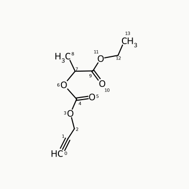 C#CCOC(=O)OC(C)C(=O)OCC